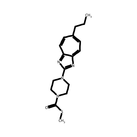 CCCc1ccc2nc(N3CCN(C(=O)SC)CC3)nc-2cc1